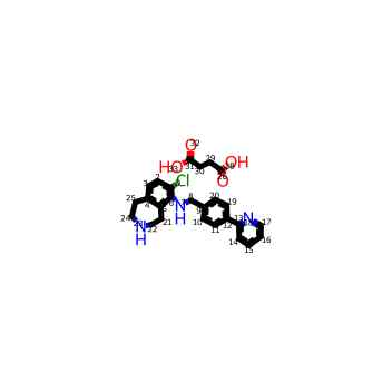 Clc1ccc2c(c1NCc1ccc(-c3ccccn3)cc1)CCNCC2.O=C(O)CCC(=O)O